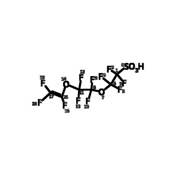 O=S(=O)(O)C(F)(F)C(F)(F)OC(F)(F)C(F)(F)OC(F)=C(F)F